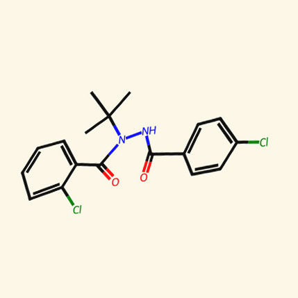 CC(C)(C)N(NC(=O)c1ccc(Cl)cc1)C(=O)c1ccccc1Cl